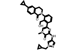 Cn1cc(-c2cccc(N3CCc4cc(C5CC5)ccc4C3=O)c2CO)nc(Nc2cnn(CC3CC3)c2)c1=O